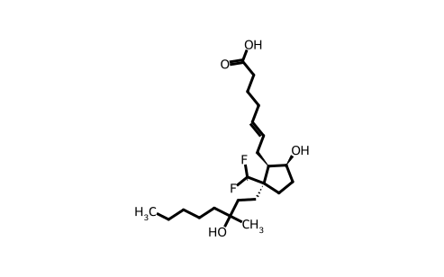 CCCCCC(C)(O)CC[C@@]1([C](F)F)CC[C@H](O)[C@@H]1CC=CCCCC(=O)O